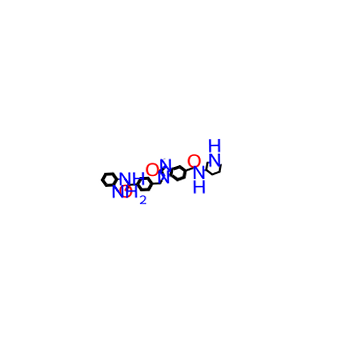 Cn1c(=O)n(Cc2ccc(C(=O)Nc3ccccc3N)cc2)c2ccc(C(=O)NC3CCCNC3)cc21